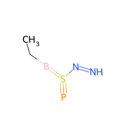 CCB=S(#P)N=N